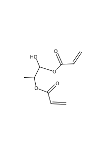 C=CC(=O)OC(C)C(O)OC(=O)C=C